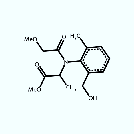 COCC(=O)N(c1c(C)cccc1CO)C(C)C(=O)OC